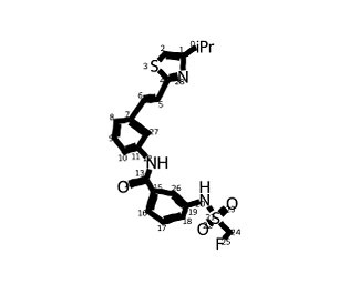 CC(C)c1csc(C=Cc2cccc(NC(=O)c3cccc(NS(=O)(=O)CF)c3)c2)n1